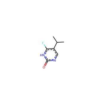 CC(C)c1cnc(=O)[nH]c1F